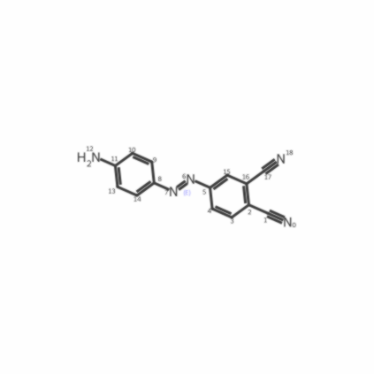 N#Cc1ccc(/N=N/c2ccc(N)cc2)cc1C#N